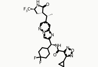 C[C@H](c1cnn2cc([C@@H](NC(=O)c3nonc3C3CC3)C3CCC(F)(F)CC3)nc2c1)[C@@H]1C[C@@H](C(F)(F)F)NC1=O